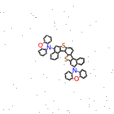 c1ccc2c(c1)Oc1ccccc1N2c1cc2sc3c(ccc4sc5cc(N6c7ccccc7Oc7ccccc76)c6ccccc6c5c43)c2c2ccccc12